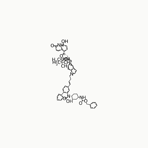 CC(C)(C)[Si](C)(C)O[C@@H](CNCc1ccc2c(ccn2CCC=Cc2ccc(-c3ccccc3)c(N(C(=O)O)[C@H]3CC[C@H](NC(=O)OCc4ccccc4)CC3)c2)c1)c1ccc(O)c2[nH]c(=O)ccc12